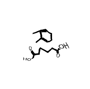 Cc1ccccc1C.O=C(O)CCCCC(=O)O